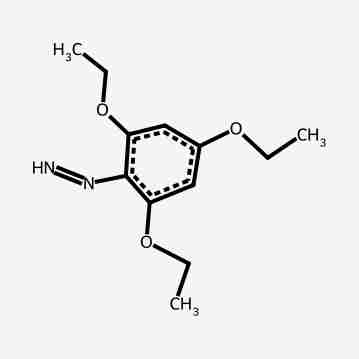 CCOc1cc(OCC)c(N=N)c(OCC)c1